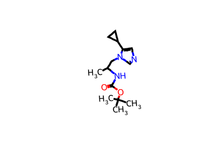 CC(Cn1cncc1C1CC1)NC(=O)OC(C)(C)C